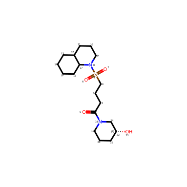 O=C(CCCS(=O)(=O)N1CCCC2CCCCC21)N1CCC[C@@H](O)C1